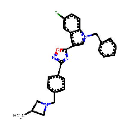 O=C(O)C1CN(Cc2ccc(-c3noc(-c4cn(Cc5ccccc5)c5ccc(F)cc45)n3)cc2)C1